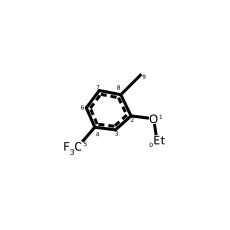 CCOc1cc(C(F)(F)F)ccc1C